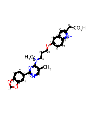 Cc1cnc(-c2ccc3c(c2)OCO3)nc1N(C)CCCOc1ccc2[nH]c(CC(=O)O)cc2c1